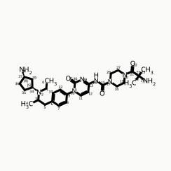 CCN(C(C)Cc1ccc(-n2ccc(NC(=O)N3CCN(C(=O)C(C)(C)N)CC3)nc2=O)cc1)[C@H]1CC[C@@H](N)C1